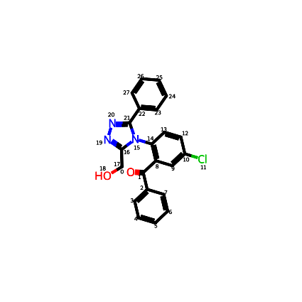 O=C(c1ccccc1)c1cc(Cl)ccc1-n1c(CO)nnc1-c1ccccc1